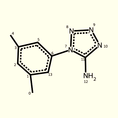 Cc1cc(C)cc(-n2nnnc2N)c1